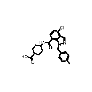 O=C(NC1CCC(C(=O)O)CC1)c1ccc(Cl)c2cnn(Cc3ccc(I)cc3)c12